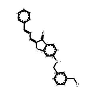 O=C1C(=CC=Cc2ccccc2)Oc2cc(OCc3cccc(CCl)c3)ccc21